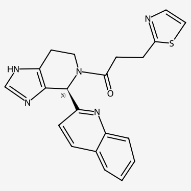 O=C(CCc1nccs1)N1CCc2[nH]cnc2[C@@H]1c1ccc2ccccc2n1